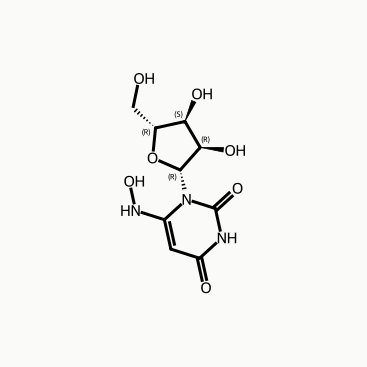 O=c1cc(NO)n([C@@H]2O[C@H](CO)[C@@H](O)[C@H]2O)c(=O)[nH]1